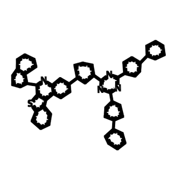 c1ccc(-c2ccc(-c3nc(-c4ccc(-c5ccccc5)cc4)nc(-c4cccc(-c5ccc6c(c5)nc(-c5cccc7ccccc57)c5sc7ccccc7c56)c4)n3)cc2)cc1